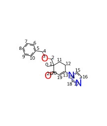 CC1(COCc2ccccc2)CCC(n2ccnc2)=CC1=O